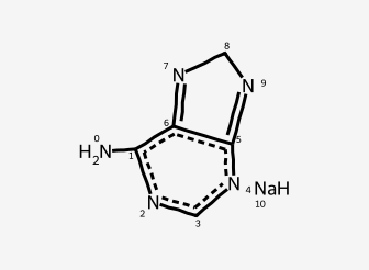 Nc1ncnc2c1=NCN=2.[NaH]